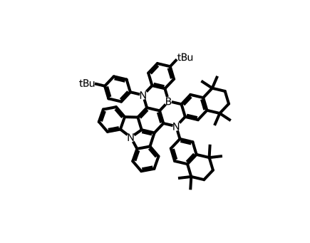 CC(C)(C)c1ccc(N2c3ccc(C(C)(C)C)cc3B3c4cc5c(cc4N(c4ccc6c(c4)C(C)(C)CCC6(C)C)c4c3c2c2c3ccccc3n3c6ccccc6c4c23)C(C)(C)CCC5(C)C)cc1